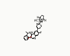 CC(Nc1c(Cl)cnc2cc(F)c(-c3cnc(N4C[C@H]5CC[C@@H](C4)[C@H]5C(=O)O)nc3)cc12)c1ccccc1F